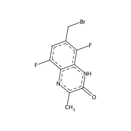 Cc1nc2c(F)cc(CBr)c(F)c2[nH]c1=O